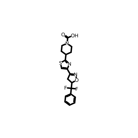 O=C(O)N1CCC(c2nc(C3=NOC(C(F)(F)c4ccccc4)C3)cs2)CC1